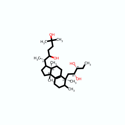 CC[C@@H](O)[C@H](O)C[C@]1(C)C2=C(CCC1C)[C@]1(C)CCC([C@H](C)C(O)CCC(C)(C)O)[C@@]1(C)CC2